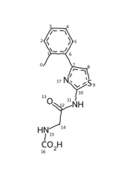 Cc1ccccc1-c1csc(NC(=O)CNC(=O)O)n1